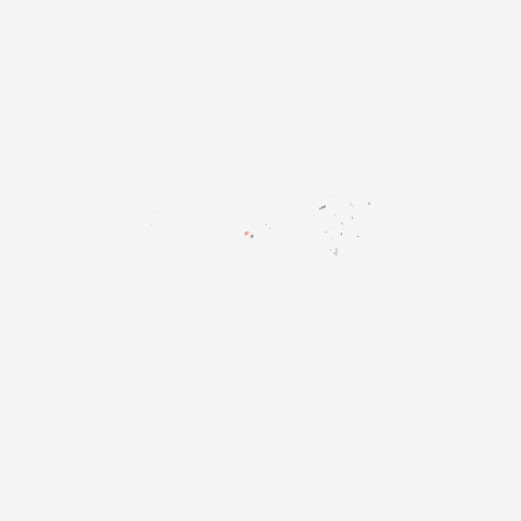 CCCCCCCCCCC(O)CN(CCCCCCC1C2(C(N)=O)CC3CC(C(=O)O)(C2)CC1(C(=O)O)C3)CC(O)CCCCCCCCCC